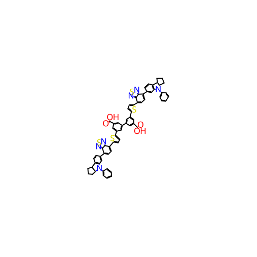 O=C(O)c1cc(-c2cc(C(=O)O)cc(-c3ccc(-c4ccc(-c5ccc6c(c5)N(c5ccccc5)C5CCCC65)c5nsnc45)s3)c2)cc(-c2ccc(-c3ccc(-c4ccc5c(c4)N(c4ccccc4)C4CCCC54)c4nsnc34)s2)c1